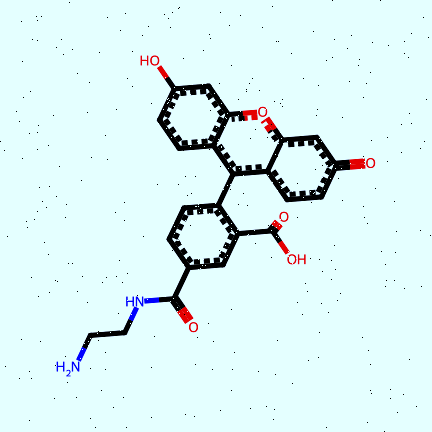 NCCNC(=O)c1ccc(-c2c3ccc(=O)cc-3oc3cc(O)ccc23)c(C(=O)O)c1